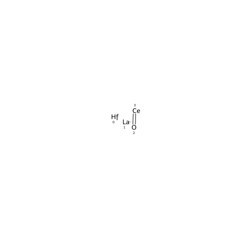 [Hf].[La].[O]=[Ce]